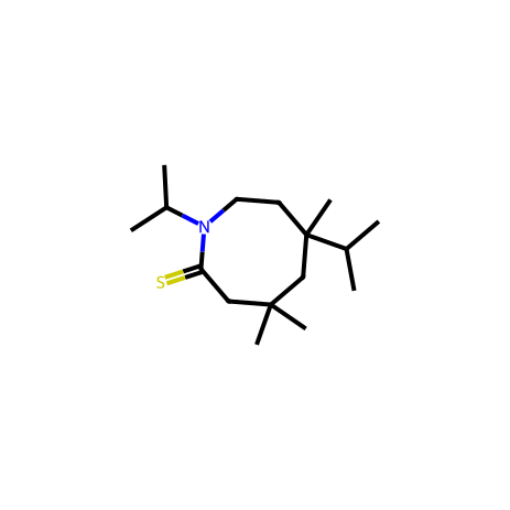 CC(C)N1CCC(C)(C(C)C)CC(C)(C)CC1=S